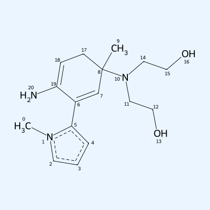 Cn1cccc1C1=CC(C)(N(CCO)CCO)CC=C1N